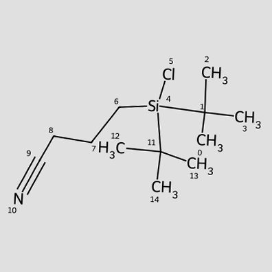 CC(C)(C)[Si](Cl)(CCCC#N)C(C)(C)C